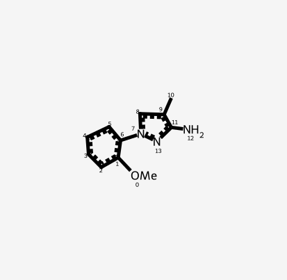 COc1ccccc1-n1cc(C)c(N)n1